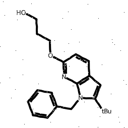 CC(C)(C)c1cc2ccc(OCCCO)nc2n1Cc1ccccc1